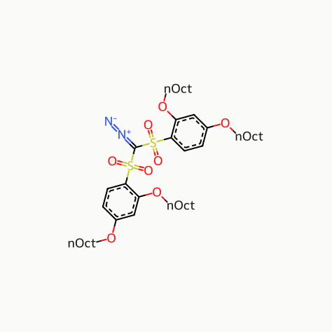 CCCCCCCCOc1ccc(S(=O)(=O)C(=[N+]=[N-])S(=O)(=O)c2ccc(OCCCCCCCC)cc2OCCCCCCCC)c(OCCCCCCCC)c1